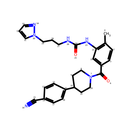 Cc1ccc(C(=O)N2CCC(c3ccc(C#N)cc3)CC2)cc1NC(=O)NCCCn1cccn1